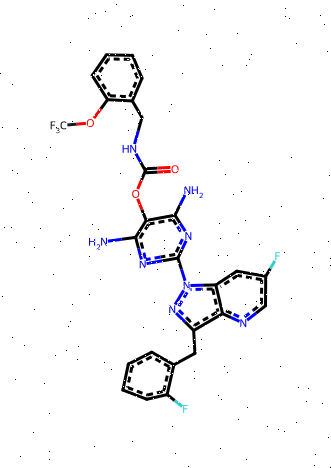 Nc1nc(-n2nc(Cc3ccccc3F)c3ncc(F)cc32)nc(N)c1OC(=O)NCc1ccccc1OC(F)(F)F